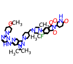 COC1CCN(c2nccc(Nc3cc4c(cn3)c(N3CCC(CN5CC(C)N(c6cc7c(cc6F)C(=O)N(C6CCC(=O)NC6=O)C7=O)C(C)C5)CC3)nn4C(C)C)n2)CC1